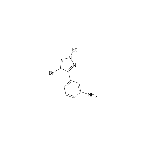 CCn1cc(Br)c(-c2cccc(N)c2)n1